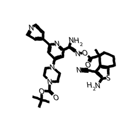 CC(C)(C)OC(=O)N1CCN(c2cc(/C(N)=N/OC(=O)C3(C)CCCc4sc(N)c(C#N)c43)nc(-c3ccncc3)c2)CC1